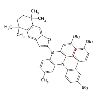 Cc1ccc2c(c1)N(c1ccc(C(C)(C)C)cc1-c1ccc(C(C)(C)C)cc1)c1ccc(C(C)(C)C)cc1B2c1cc2cc3c(cc2o1)C(C)(C)CCC3(C)C